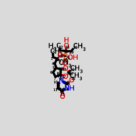 CCC(C)(CC1CC[C@@]2(n3ccc(=O)[nH]c3=O)OC(C)(C)OC12)OP(=O)(O)C(O)(CC)CC